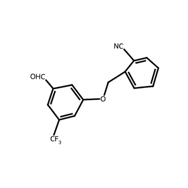 N#Cc1ccccc1COc1cc(C=O)cc(C(F)(F)F)c1